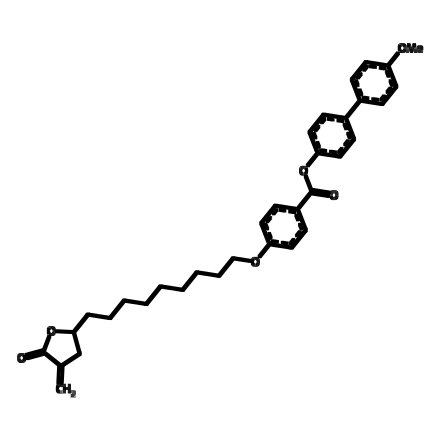 C=C1CC(CCCCCCCCCOc2ccc(C(=O)Oc3ccc(-c4ccc(OC)cc4)cc3)cc2)OC1=O